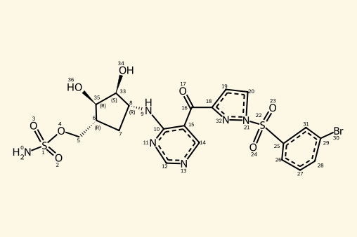 NS(=O)(=O)OC[C@H]1C[C@@H](Nc2ncncc2C(=O)c2ccn(S(=O)(=O)c3cccc(Br)c3)n2)[C@H](O)[C@@H]1O